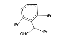 CC(C)c1cccc(C(C)C)c1N(C=O)C(C)C